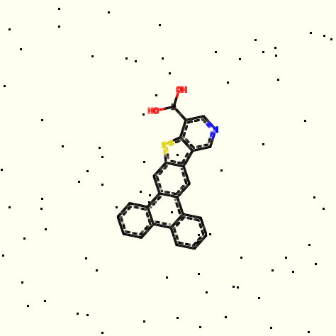 OB(O)c1cncc2c1sc1cc3c4ccccc4c4ccccc4c3cc12